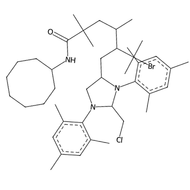 Cc1cc(C)c(N2CC(CC(C(C)CC(C)(C)C(=O)NC3CCCCCCC3)C(C)(C)Br)N(c3c(C)cc(C)cc3C)C2CCl)c(C)c1